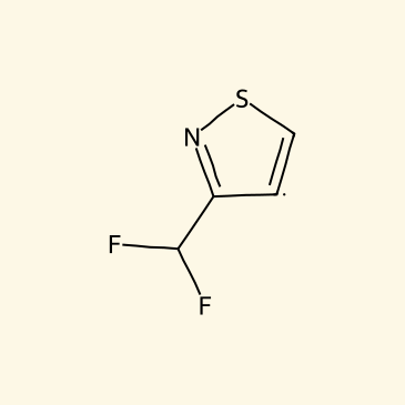 FC(F)c1[c]csn1